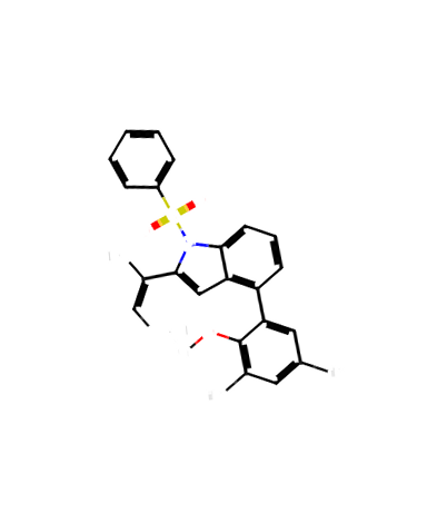 CCCCOc1c(-c2cccc3c2cc(/C(C)=C\C(=O)O)n3S(=O)(=O)c2ccccc2)cc(C(C)C)cc1C(C)C